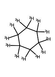 [2H]C1([2H])C([2H])([2H])C([2H])([2H])C([2H])([2H])C([2H])([2H])C1([2H])[2H]